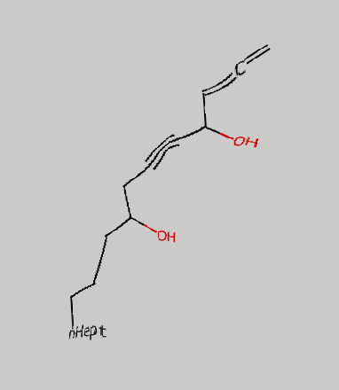 C=C=CC(O)C#CCC(O)CCCCCCCCCC